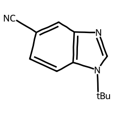 CC(C)(C)n1cnc2cc(C#N)ccc21